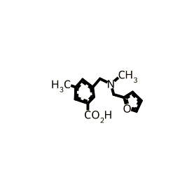 Cc1cc(CN(C)Cc2ccco2)cc(C(=O)O)c1